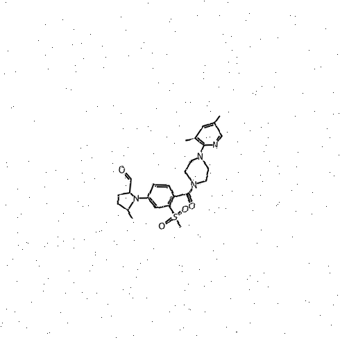 Cc1cnc(N2CCN(C(=O)c3ccc(N4C(C)CCC4C=O)cc3S(C)(=O)=O)CC2)c(C)c1